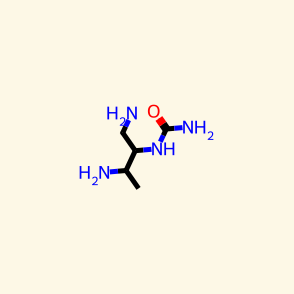 CC(N)C(CN)NC(N)=O